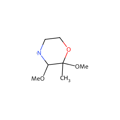 COC1[N]CCOC1(C)OC